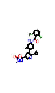 Cc1cc(NC(=O)c2c(F)cccc2F)ccc1-c1cc(-c2nn(C)c(=O)o2)cnc1C1CC1